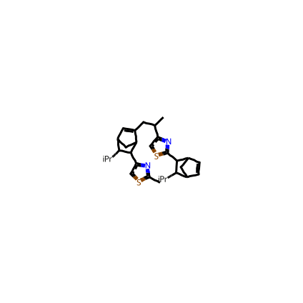 Cc1nc(C2C3CC(C=C3CC(C)c3csc(C4C5C=CC(C5)C4C(C)C)n3)C2C(C)C)cs1